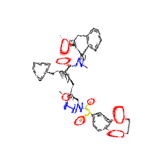 CO[C@H](CNS(=O)(=O)c1ccc2c(c1)OCCO2)C[C@@H](Cc1ccccc1)C(=O)N(C)[C@H]1c2ccccc2C[C@@H]1OC